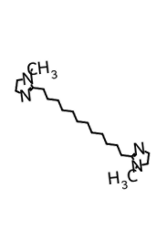 CN1CCN=C1CCCCCCCCCCCCC1=NCCN1C